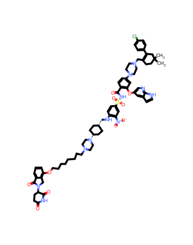 CC1(C)CCC(CN2CCN(c3ccc(C(=O)NS(=O)(=O)c4ccc(NC[C@H]5CC[C@@H](N6CCN(CCCCCCCCOc7cccc8c7CN(C7CCC(=O)NC7=O)C8=O)CC6)CC5)c([N+](=O)[O-])c4)c(Oc4cnc5[nH]ccc5c4)c3)CC2)=C(c2ccc(Cl)cc2)C1